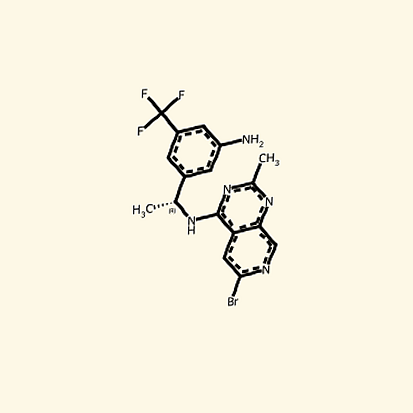 Cc1nc(N[C@H](C)c2cc(N)cc(C(F)(F)F)c2)c2cc(Br)ncc2n1